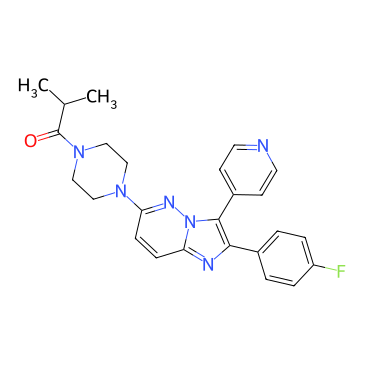 CC(C)C(=O)N1CCN(c2ccc3nc(-c4ccc(F)cc4)c(-c4ccncc4)n3n2)CC1